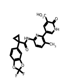 Cc1ccc(NC(=O)C2(c3ccc4c(c3)OC(F)(F)O4)CC2)nc1-c1c[nH]c(=O)c(C(=O)O)c1